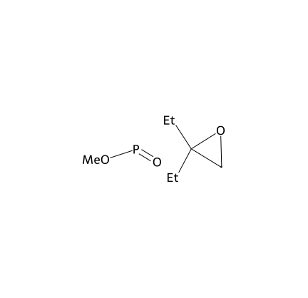 CCC1(CC)CO1.COP=O